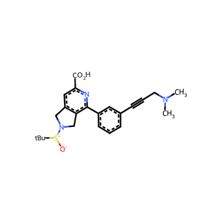 CN(C)CC#Cc1cccc(-c2nc(C(=O)O)cc3c2CN([S+]([O-])C(C)(C)C)C3)c1